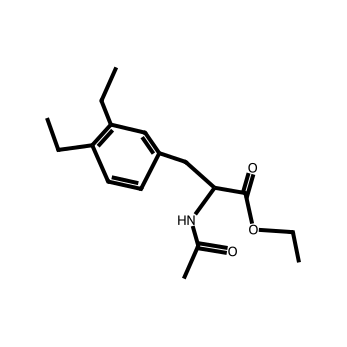 CCOC(=O)C(Cc1ccc(CC)c(CC)c1)NC(C)=O